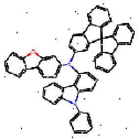 c1ccc(-n2c3ccccc3c3c(N(c4ccc5c(c4)C4(c6ccccc6-c6ccccc64)c4ccccc4-5)c4ccc5c(c4)oc4ccccc45)cccc32)cc1